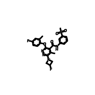 Cc1cc(F)ccc1Oc1nnc(N2CC(F)C2)c(C)c1C(=O)Nc1cccc(S(C)(=O)=O)c1